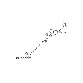 CCCCCCCNC(=O)CCCCCCCCCC(=O)NCCC(=O)Oc1cccc2c1CC[C@H](N(CCC)CCc1cccs1)C2